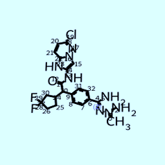 CN(N)/N=C(\N)c1ccc(C(C(=O)NC2=CN3N=C(Cl)C=CC3N2)C2CCC(F)(F)C2)cc1